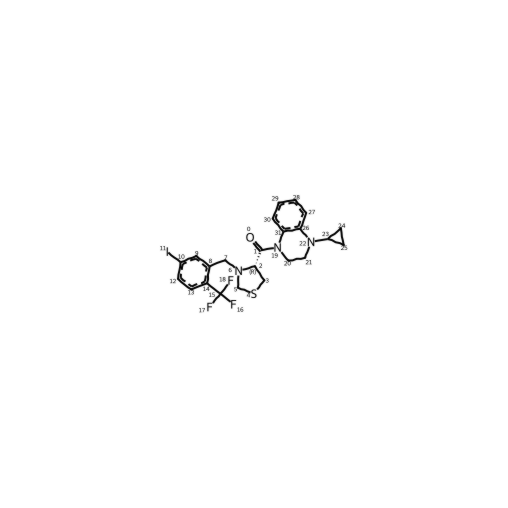 O=C([C@@H]1CSCN1Cc1cc(I)ccc1C(F)(F)F)N1CCN(C2CC2)c2ccccc21